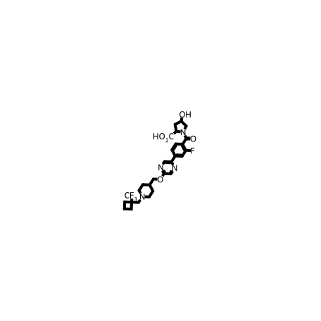 O=C(O)C1CC(O)CN1C(=O)c1ccc(-c2cnc(OCC3CCN(CC4(C(F)(F)F)CCC4)CC3)cn2)cc1F